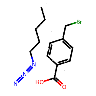 CCCCCN=[N+]=[N-].O=C(O)c1ccc(CBr)cc1